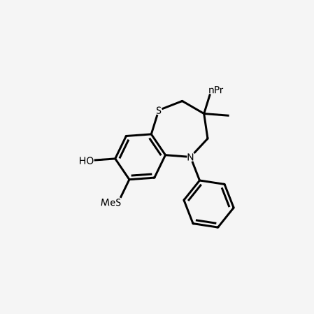 CCCC1(C)CSc2cc(O)c(SC)cc2N(c2ccccc2)C1